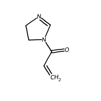 C=CC(=O)N1C=NCC1